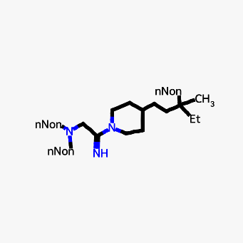 CCCCCCCCCN(CCCCCCCCC)CC(=N)N1CCC(CCC(C)(CC)CCCCCCCCC)CC1